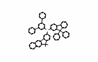 CC1(C)c2ccc(N(c3cc(-c4ccccc4)cc(-c4ccccc4)c3)c3ccc4c(c3)C(c3ccccc3)(c3ccccc3)c3ccccc3-4)cc2-c2cc3ccccc3cc21